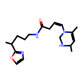 CC1=CC(C)NCN1/C=C\CC(=O)NCCCC(C)c1ncco1